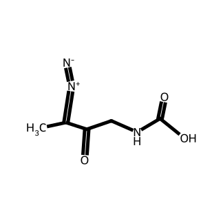 CC(=[N+]=[N-])C(=O)CNC(=O)O